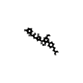 COc1c(Nc2cc(CC(=O)Nc3cccc(F)c3)[nH]n2)nc(SC)nc1N1CCN(CCN(C)C)CC1